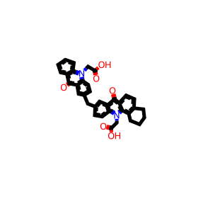 O=C(O)Cn1c2ccccc2c(=O)c2cc(Cc3ccc4c(c3)c(=O)c3ccc5c(c3n4CC(=O)O)CCCC5)ccc21